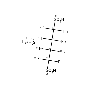 O=S(=O)(O)C(F)(F)C(F)(F)C(F)(F)C(F)(F)S(=O)(=O)O.S.S